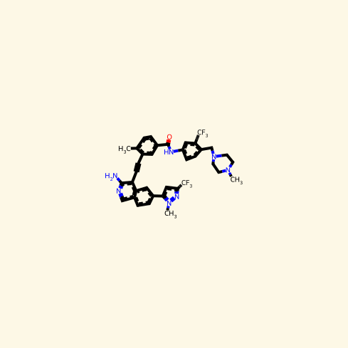 Cc1ccc(C(=O)Nc2ccc(CN3CCN(C)CC3)c(C(F)(F)F)c2)cc1C#Cc1c(N)ncc2ccc(-c3cc(C(F)(F)F)nn3C)cc12